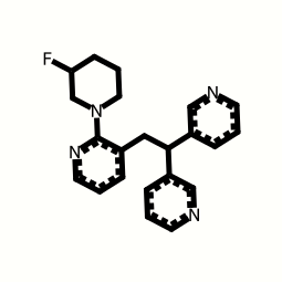 FC1CCCN(c2ncccc2CC(c2cccnc2)c2cccnc2)C1